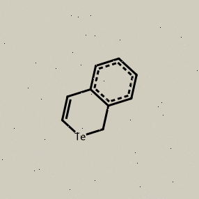 C1=Cc2ccccc2C[Te]1